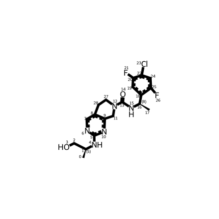 C[C@@H](CO)Nc1ncc2c(n1)CN(C(=O)N[C@H](C)c1cc(F)c(Cl)cc1F)CC2